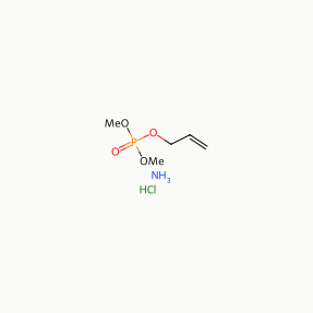 C=CCOP(=O)(OC)OC.Cl.N